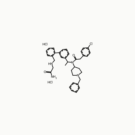 CC(c1cccc(-c2ccccc2CNCC(N)=O)c1)N(C(=O)Cc1ccc(Cl)cc1)C1CCN(Cc2ccccc2)CC1.Cl.Cl